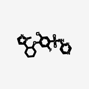 Cn1nccc1C1CCCCC1Oc1cc(F)c(S(=O)(=O)Nc2ccncn2)cc1Cl